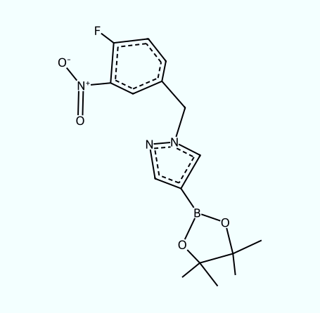 CC1(C)OB(c2cnn(Cc3ccc(F)c([N+](=O)[O-])c3)c2)OC1(C)C